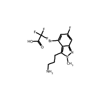 Cn1nc2cc(F)cc(Br)c2c1CCCN.O=C(O)C(F)(F)F